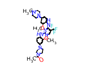 COc1cc(N2CCN(C(C)=O)CC2)ccc1Nc1ncc(C(F)(F)F)c(Nc2ccc(N3CCN(C)CC3)cc2OC)n1